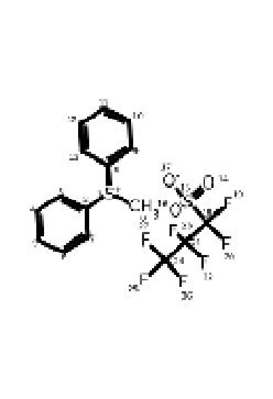 C[S+](c1ccccc1)c1ccccc1.O=S(=O)([O-])C(F)(F)C(F)(F)C(F)(F)F